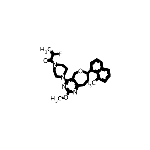 C=C(F)C(=O)N1CCN(c2nc(OC)nc3c2COC(c2cccc4cccc(C)c24)CC3)CC1